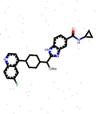 COC(c1nc2cc(C(=O)NC3CC3)ccc2[nH]1)C1CCC(c2ccnc3ccc(F)cc23)CC1